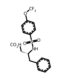 O=C(O)C[C@@H](Cc1ccccc1)NS(=O)(=O)c1ccc(OC(F)(F)F)cc1